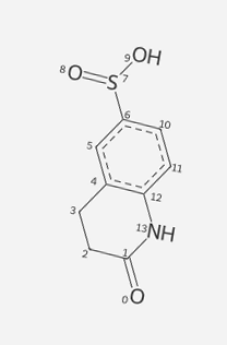 O=C1CCc2cc(S(=O)O)ccc2N1